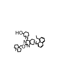 CCc1cccc2cccc(N3CCc4c(nc(OCC56CCCN5CCC6)nc4N4CCCC(O)C4)C3)c12